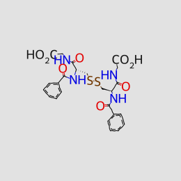 O=C(O)CNC(=O)[C@H](CSSC[C@H](NC(=O)c1ccccc1)C(=O)NCC(=O)O)NC(=O)c1ccccc1